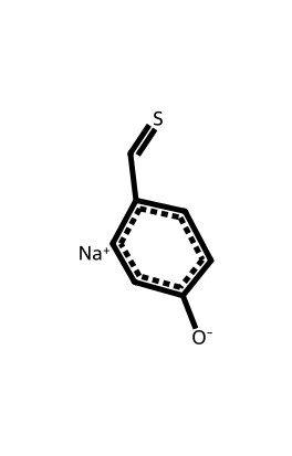 [Na+].[O-]c1ccc(C=S)cc1